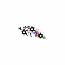 Cc1cccc(C)c1COc1cc(C(=O)NS(=O)(=O)c2ccc(Br)cc2)ccc1C#N